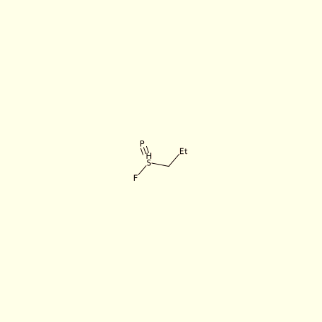 CCC[SH](F)#P